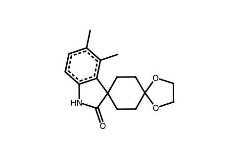 Cc1ccc2c(c1C)C1(CCC3(CC1)OCCO3)C(=O)N2